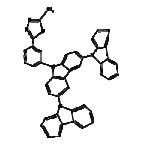 Cc1nnc(-c2cccc(-n3c4ccc(-n5c6ccccc6c6ccccc65)cc4c4cc(-n5c6ccccc6c6ccccc65)ccc43)c2)o1